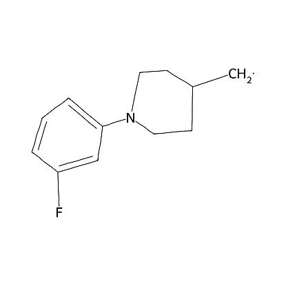 [CH2]C1CCN(c2cccc(F)c2)CC1